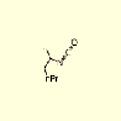 [CH2]C(CCCC)N=C=O